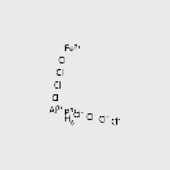 [Al+3].[Cl-].[Cl-].[Cl-].[Cl-].[Cl-].[Cl-].[Cl-].[Cl-].[Fe+2].[PH6+3]